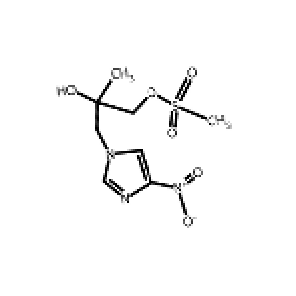 CC(O)(COS(C)(=O)=O)Cn1cnc([N+](=O)[O-])c1